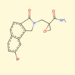 NC(=O)C1(CN2Cc3c(ccc4ccc(Br)cc34)C2=O)CO1